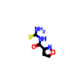 NC(=S)NC(=O)c1ccon1